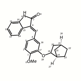 COc1ccc(/C=C2/C(=O)Nc3ccccc32)cc1OC1C[C@H]2CC[C@@H]1C2